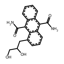 NC(=O)c1c2ccccc2c(C(N)=O)c2c(CC(O)CO)cccc12